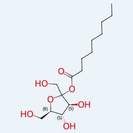 CCCCCCCCC(=O)OC1(CO)O[C@H](CO)[C@@H](O)[C@@H]1O